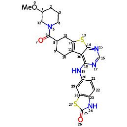 COC1CCCN(C(=O)C2CCc3c(sc4ncnc(Nc5ccc6[nH]c(=O)sc6c5)c34)C2)C1